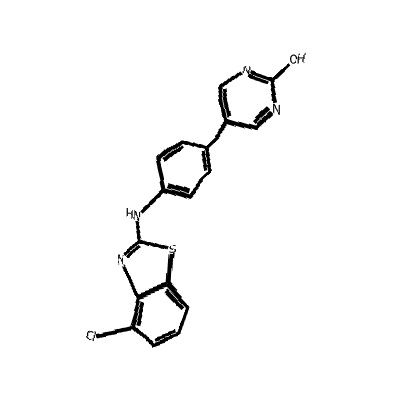 Oc1ncc(-c2ccc(Nc3nc4c(Cl)cccc4s3)cc2)cn1